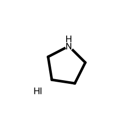 C1CCNC1.I